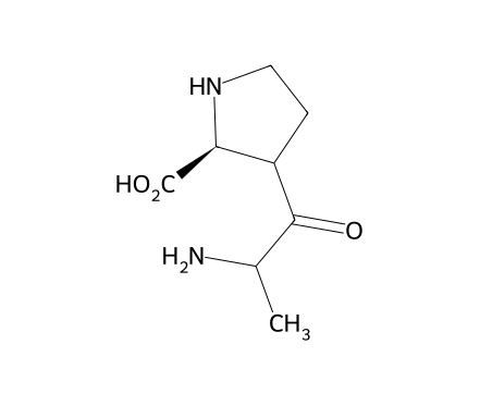 CC(N)C(=O)C1CCN[C@@H]1C(=O)O